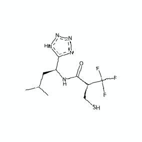 CC(C)C[C@H](NC(=O)[C@H](CS)C(F)(F)F)c1nnn[nH]1